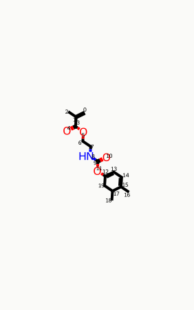 C=C(C)C(=O)OCCNC(=O)OC1=CC=C(C)C(C)C1